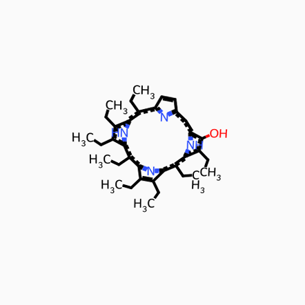 CCC1=C(CC)c2nc1c(CC)c1[nH]c(cc3nc(c(CC)c4[nH]c(c2CC)c(CC)c4CC)C=C3)c(O)c1CC